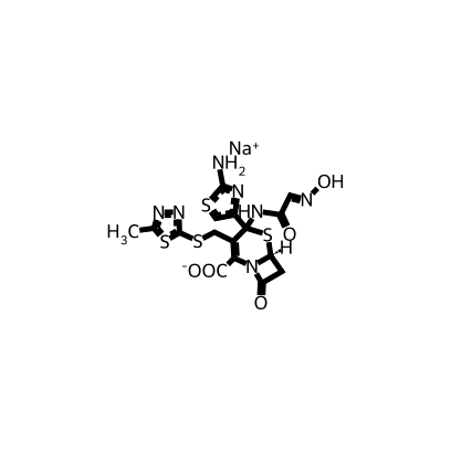 Cc1nnc(SCC2=C(C(=O)[O-])N3C(=O)C[C@@H]3SC2(NC(=O)C=NO)c2csc(N)n2)s1.[Na+]